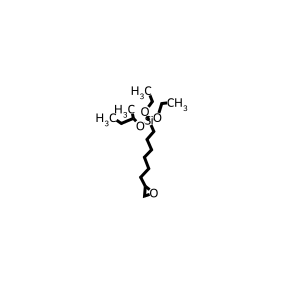 CCO[Si](CCCCCCC1CO1)(OCC)OC(C)CC